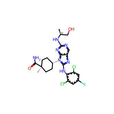 C[C@@H](CO)Nc1ncc2nc(Nc3c(Cl)cc(F)cc3Cl)n([C@H]3CC[C@](C)(C(N)=O)CC3)c2n1